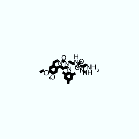 CCOc1cc2c(cc1OC)-c1c/c(=N\c3c(C)cc(C)cc3C)n(CCNS(=O)(=O)/C(=C/N)N=N)c(=O)n1CC2